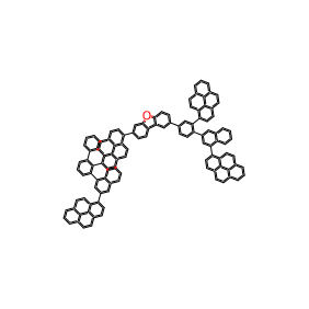 c1ccc(-c2cccc(-c3cc(-c4ccc5ccc6cccc7ccc4c5c67)cc4ccccc34)c2-c2ccc3ccc4c(-c5ccc6c(c5)oc5ccc(-c7ccc(-c8cc(-c9ccc%10ccc%11cccc%12ccc9c%10c%11%12)c9ccccc9c8)c(-c8ccc9ccc%10cccc%11ccc8c9c%10%11)c7)cc56)ccc5ccc2c3c54)cc1